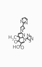 Cc1cc(N2CC(c3ncccn3)C2)nc2c1c(=O)c(C(=O)O)cn2-c1ncns1